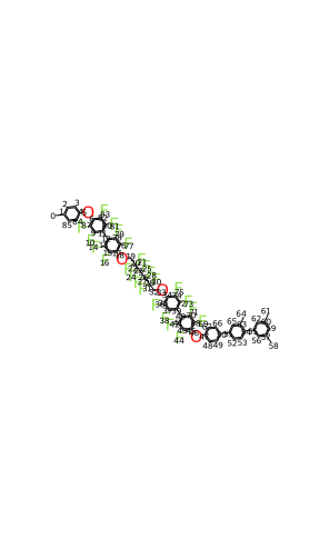 Cc1ccc(Oc2c(F)c(F)c(-c3c(F)c(F)c(OCC(F)(F)C(F)(F)C(F)(F)C(F)(F)COc4c(F)c(F)c(-c5c(F)c(F)c(Oc6ccc(-c7ccc(-c8cc(C)cc(C)c8)c(C)c7)cc6)c(F)c5F)c(F)c4F)c(F)c3F)c(F)c2F)cc1